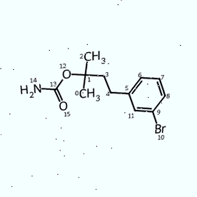 CC(C)(CCc1cccc(Br)c1)OC(N)=O